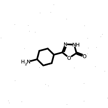 NC1CCC(c2n[nH]c(=O)o2)CC1